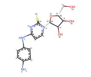 Nc1ccc(Nc2ccn([C@@H]3O[C@H](CO)C(O)C3O)c(=S)n2)cc1